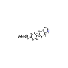 C/C=C\C1CCC(C2CCC(COC)CC2)CC1